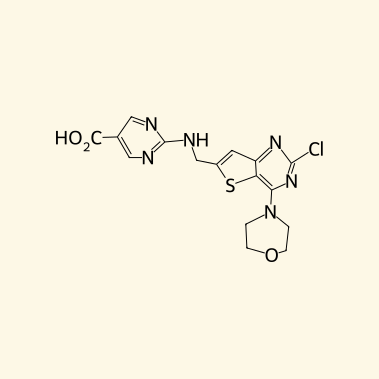 O=C(O)c1cnc(NCc2cc3nc(Cl)nc(N4CCOCC4)c3s2)nc1